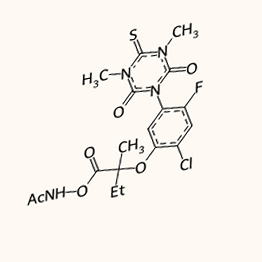 CCC(C)(Oc1cc(-n2c(=O)n(C)c(=S)n(C)c2=O)c(F)cc1Cl)C(=O)ONC(C)=O